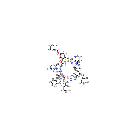 O=C1N[C@@H](Cc2ccc(OCc3ccccc3)cc2)C(=O)N[C@@H](Cc2cccnc2)C(=O)N2C[C@H](Oc3ccncc3)C[C@H]2C(=O)N[C@@H](CCc2ccccc2)C(=O)N[C@@H](Cc2c[nH]c3ccccc23)C(=O)N[C@H]1CC1CCNCC1